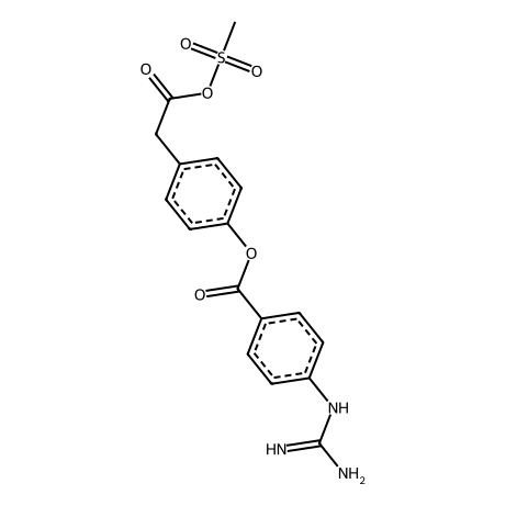 CS(=O)(=O)OC(=O)Cc1ccc(OC(=O)c2ccc(NC(=N)N)cc2)cc1